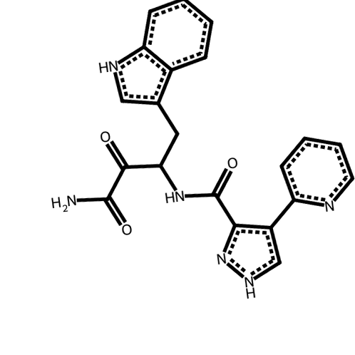 NC(=O)C(=O)C(Cc1c[nH]c2ccccc12)NC(=O)c1n[nH]cc1-c1ccccn1